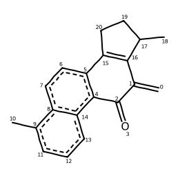 C=C1C(=O)c2c(ccc3c(C)cccc23)C2=C1C(C)CC2